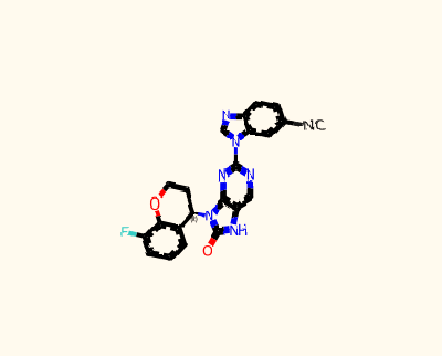 [C-]#[N+]c1ccc2ncn(-c3ncc4[nH]c(=O)n([C@@H]5CCOc6c(F)cccc65)c4n3)c2c1